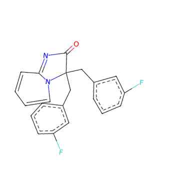 O=C1N=C2C=CC=CN2C1(Cc1cccc(F)c1)Cc1cccc(F)c1